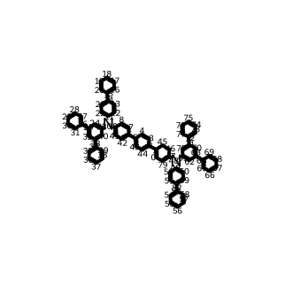 C1=C(c2ccc(-c3ccc(N(c4ccc(-c5ccccc5)cc4)c4cc(-c5ccccc5)cc(-c5ccccc5)c4)cc3)cc2)CCC(N(c2ccc(-c3ccccc3)cc2)c2cc(-c3ccccc3)cc(-c3ccccc3)c2)=C1